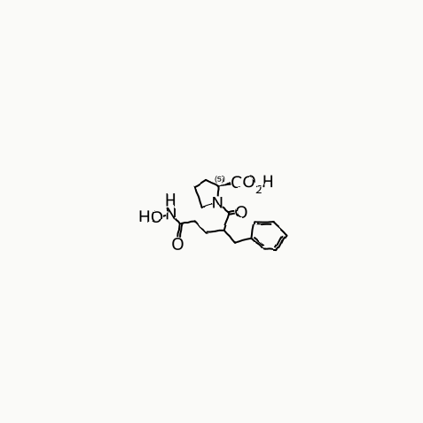 O=C(CCC(Cc1ccccc1)C(=O)N1CCC[C@H]1C(=O)O)NO